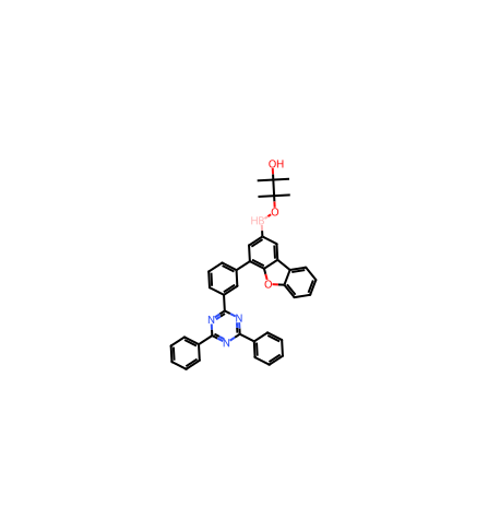 CC(C)(O)C(C)(C)OBc1cc(-c2cccc(-c3nc(-c4ccccc4)nc(-c4ccccc4)n3)c2)c2oc3ccccc3c2c1